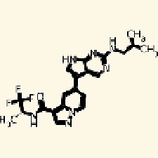 CC(C)CNc1ncc2c(-c3ccn4ncc(C(=O)N[C@H](C)C(F)(F)F)c4c3)c[nH]c2n1